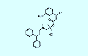 CC(=O)C(=CC(=O)OC(C)(C)CN(C)CCC(c1ccccc1)c1ccccc1)c1cccc([N+](=O)[O-])c1.Cl